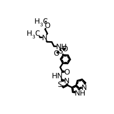 CCN(CCCNS(=O)(=O)c1cccc(CC(=O)Nc2nc(-c3c[nH]c4ncccc34)cs2)c1)CCOC